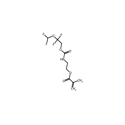 C=C(C)C(=O)OCCNC(=O)OCC(F)(F)OC(F)F